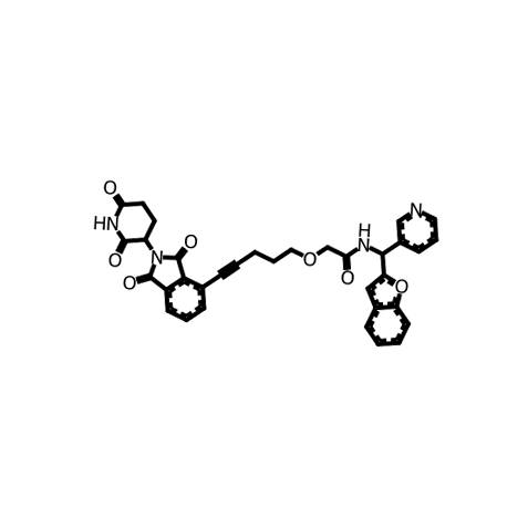 O=C1CCC(N2C(=O)c3cccc(C#CCCCOCC(=O)NC(c4cccnc4)c4cc5ccccc5o4)c3C2=O)C(=O)N1